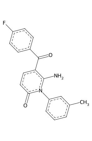 Cc1cccc(-n2c(N)c(C(=O)c3ccc(F)cc3)ccc2=O)c1